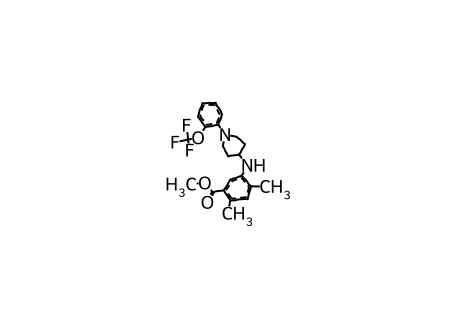 COC(=O)c1cc(NC2CCN(c3ccccc3OC(F)(F)F)CC2)c(C)cc1C